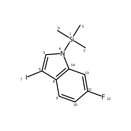 C[Si](C)(C)n1cc(I)c2ccc(F)cc21